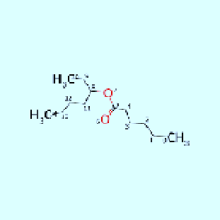 CCCCCC(=O)OC(CC)CCCC